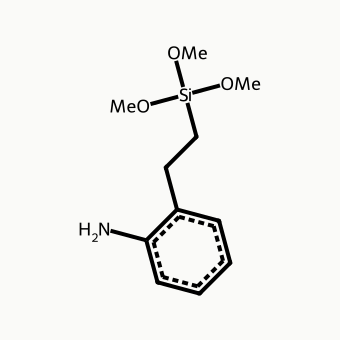 CO[Si](CCc1ccccc1N)(OC)OC